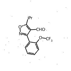 CC(C)c1onc(-c2ccccc2OC(F)(F)F)c1C=O